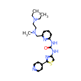 CCN(CC)CCN(C)Cc1cccc(NC(=O)Nc2csc(-c3ccncc3)n2)n1